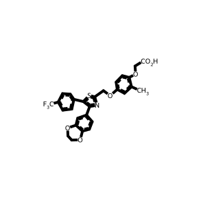 Cc1cc(OCc2nc(-c3ccc4c(c3)OCCO4)c(-c3ccc(C(F)(F)F)cc3)s2)ccc1OCC(=O)O